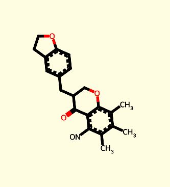 Cc1c(C)c(N=O)c2c(c1C)OCC(Cc1ccc3c(c1)CCO3)C2=O